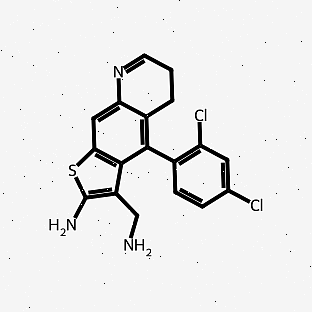 NCc1c(N)sc2cc3c(c(-c4ccc(Cl)cc4Cl)c12)CCC=N3